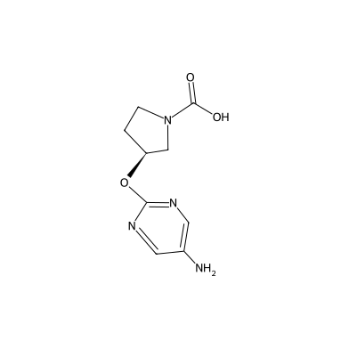 Nc1cnc(O[C@H]2CCN(C(=O)O)C2)nc1